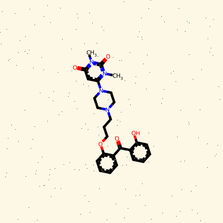 Cn1c(N2CCN(CCCOc3ccccc3C(=O)c3ccccc3O)CC2)cc(=O)n(C)c1=O